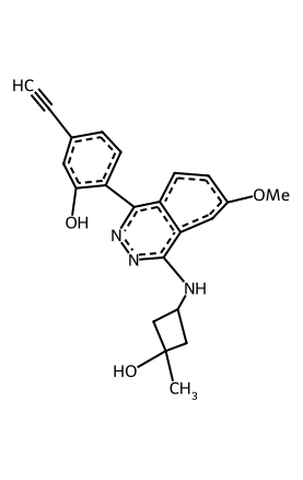 C#Cc1ccc(-c2nnc(NC3CC(C)(O)C3)c3cc(OC)ccc23)c(O)c1